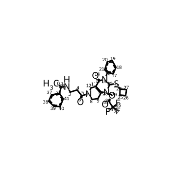 C[C@@H](NCCC(=O)N1CCC2=C(C1)C(=O)N(c1ccccc1)C(SC1CCC1)N2OC(=O)C(F)(F)F)c1ccccc1